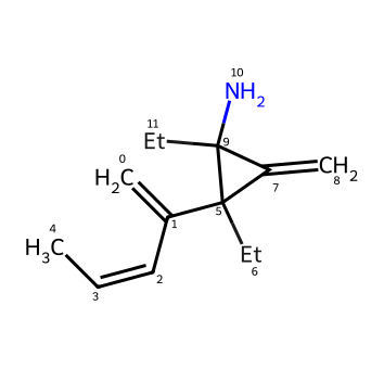 C=C(/C=C\C)C1(CC)C(=C)C1(N)CC